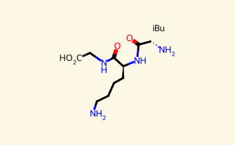 CC[C@H](C)[C@H](N)C(=O)N[C@@H](CCCCN)C(=O)NCC(=O)O